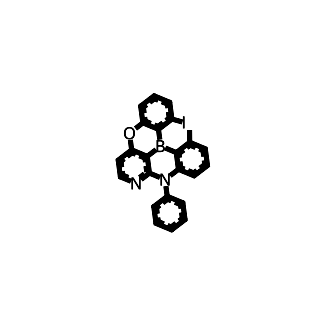 Cc1cccc2c1B1c3c(I)cccc3Oc3ccnc(c31)N2c1ccccc1